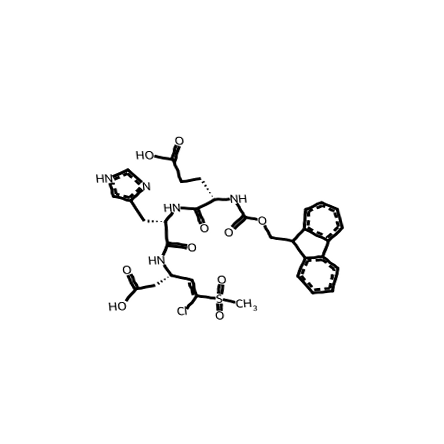 CS(=O)(=O)/C(Cl)=C/[C@H](CC(=O)O)NC(=O)[C@H](Cc1c[nH]cn1)NC(=O)[C@H](CCC(=O)O)NC(=O)OCC1c2ccccc2-c2ccccc21